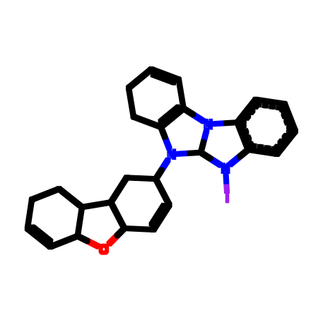 IN1c2ccccc2N2C3=C(CCC=C3)N(C3C=CC4OC5C=CCCC5C4C3)C12